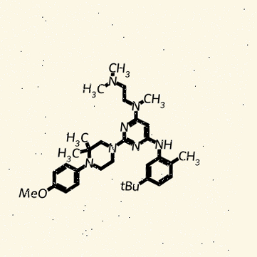 COc1ccc(N2CCN(c3nc(Nc4cc(C(C)(C)C)ccc4C)cc(N(C)CCN(C)C)n3)CC2(C)C)cc1